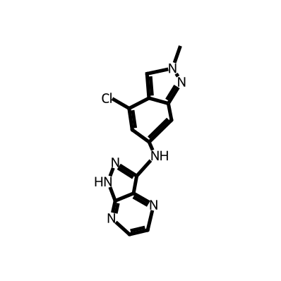 Cn1cc2c(Cl)cc(Nc3n[nH]c4nccnc34)cc2n1